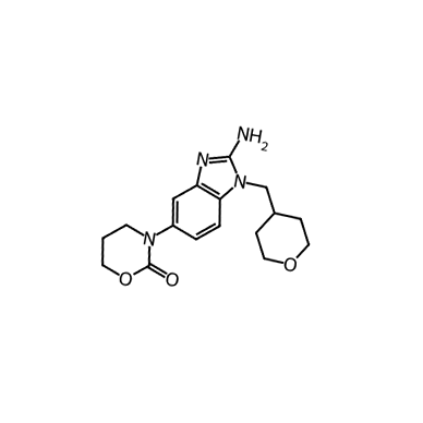 Nc1nc2cc(N3CCCOC3=O)ccc2n1CC1CCOCC1